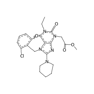 CCn1c(=O)c2c(nc(N3CCCCC3)n2Cc2c(F)cccc2Cl)n(CC(=O)OC)c1=O